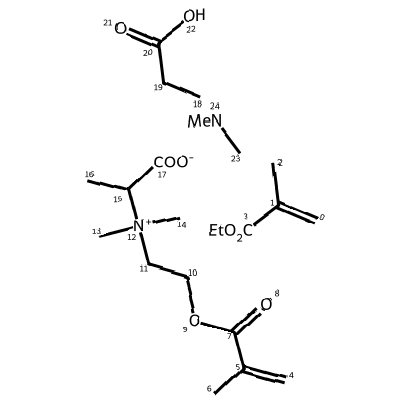 C=C(C)C(=O)OCC.C=C(C)C(=O)OCC[N+](C)(C)C(C)C(=O)[O-].CCC(=O)O.CNC